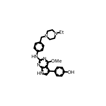 CCN1CCN(Cc2ccc(Nc3nc(OC)c4c(-c5ccc(O)cc5)c[nH]c4n3)cc2)CC1